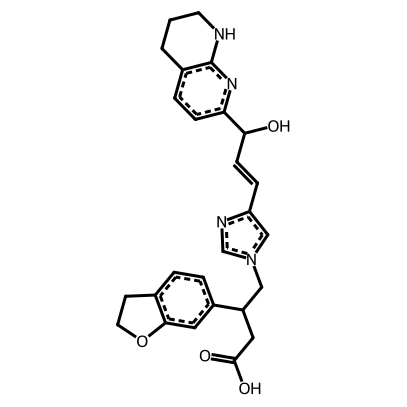 O=C(O)CC(Cn1cnc(/C=C/C(O)c2ccc3c(n2)NCCC3)c1)c1ccc2c(c1)OCC2